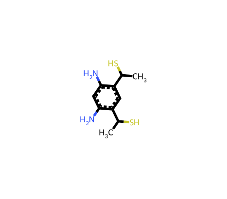 CC(S)c1cc(C(C)S)c(N)cc1N